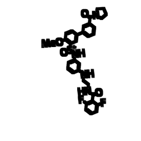 COc1ccc(-c2cccc(C(=O)N3CCCC3)c2)cc1[S+]([O-])Nc1cccc(NCCNC(=O)c2c(F)cccc2F)c1